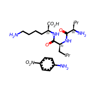 CC(C)C[C@H](NC(=O)[C@H](N)C(C)C)C(=O)N[C@@H](CCCCN)C(=O)O.Nc1ccc([N+](=O)[O-])cc1